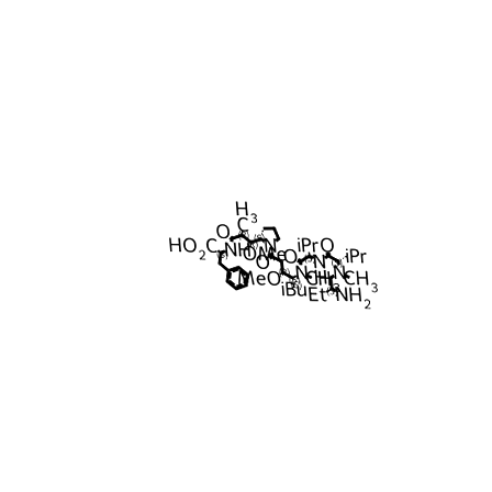 CC[C@H](N)CN(C)[C@H](C(=O)N[C@H](C(=O)N(C)[C@@H]([C@@H](C)CC)[C@@H](CC(=O)N1CCC[C@H]1[C@H](OC)[C@@H](C)C(=O)N[C@@H](Cc1ccccc1)C(=O)O)OC)C(C)C)C(C)C